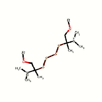 CCOCC(C)(SSSSC(C)(COCC)[SiH](C)C)[SiH](C)C